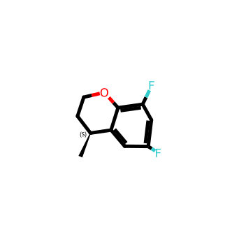 C[C@H]1CCOc2c(F)cc(F)cc21